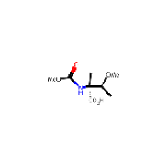 COC(=O)N[C@](C)(C(=O)O)[C@H](C)OC